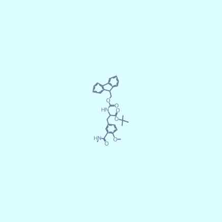 CNC(=O)c1cc(CC(NC(=O)OCC2c3ccccc3-c3ccccc32)C(=O)OC(C)(C)C)ccc1OC